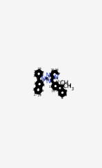 CC1(C)c2ccccc2-c2ccc(-c3nc(-n4c5ccccc5c5cc6ccccc6cc54)nc4cccnc34)cc21